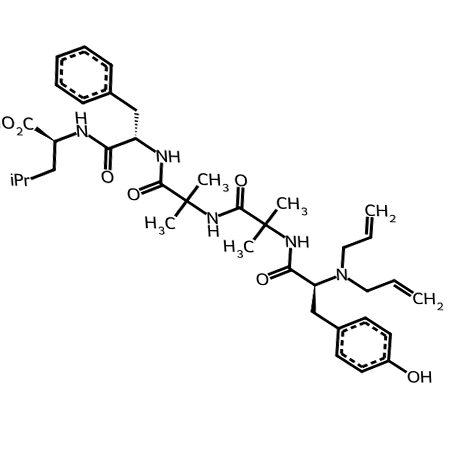 C=CCN(CC=C)[C@@H](Cc1ccc(O)cc1)C(=O)NC(C)(C)C(=O)NC(C)(C)C(=O)N[C@@H](Cc1ccccc1)C(=O)N[C@@H](CC(C)C)C(=O)O